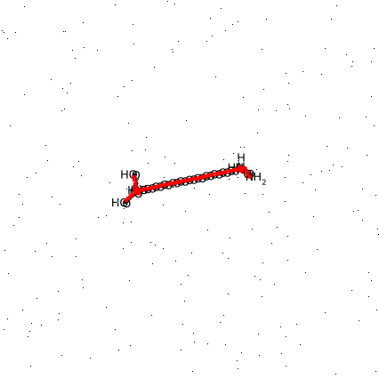 NC(=O)OC[C@@H]1C2CCC3=C(CCC21)N(CCOCCOCCOCCOCCOCCOCCOCCOCCOCCOCCOCCOCCOCCOCCOCCOCCOCCOCCOCCOCCOCCOCCOCCNC(=O)C(CCCCCCCCCCC(=O)O)(CCCCCCCCCCC(=O)O)C(=O)O)NN3